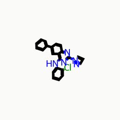 Clc1ccccc1Nc1nc(-n2cccn2)nc2ccc(-c3ccccc3)cc12